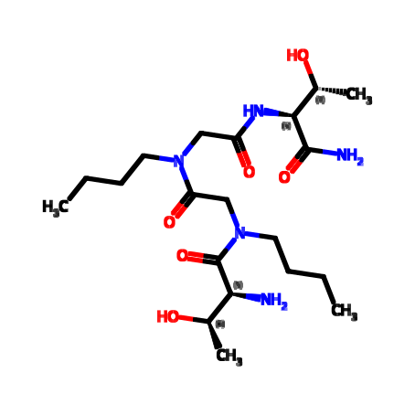 CCCCN(CC(=O)N[C@H](C(N)=O)[C@@H](C)O)C(=O)CN(CCCC)C(=O)[C@@H](N)[C@@H](C)O